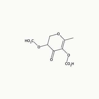 CC1=C(OC(=O)O)C(=O)C(OC(=O)O)CO1